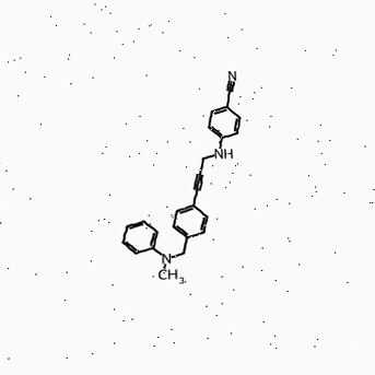 CN(Cc1ccc(C#CCNc2ccc(C#N)cc2)cc1)c1ccccc1